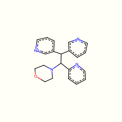 c1ccc(C(C(c2cccnc2)c2cccnc2)N2CCOCC2)nc1